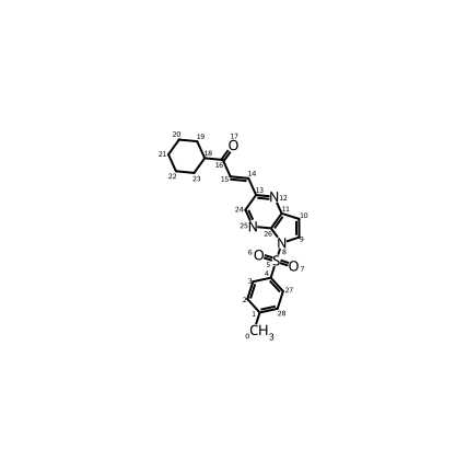 Cc1ccc(S(=O)(=O)n2ccc3nc(/C=C/C(=O)C4CCCCC4)cnc32)cc1